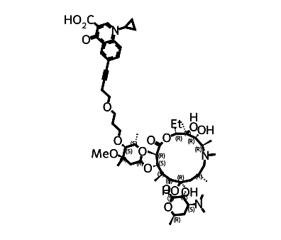 CC[C@H]1OC(=O)[C@H](C)[C@@H](O[C@H]2C[C@@](C)(OC)[C@@H](OCCCOCCC#Cc3ccc4c(c3)c(=O)c(C(=O)O)cn4C3CC3)[C@H](C)O2)[C@H](C)[C@@H](O[C@@H]2O[C@H](C)C[C@H](N(C)C)[C@H]2O)[C@](C)(O)C[C@@H](C)CN(C)[C@H](C)[C@@H](O)[C@]1(C)O